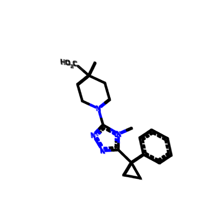 Cn1c(N2CCC(C)(C(=O)O)CC2)nnc1C1(c2ccccc2)CC1